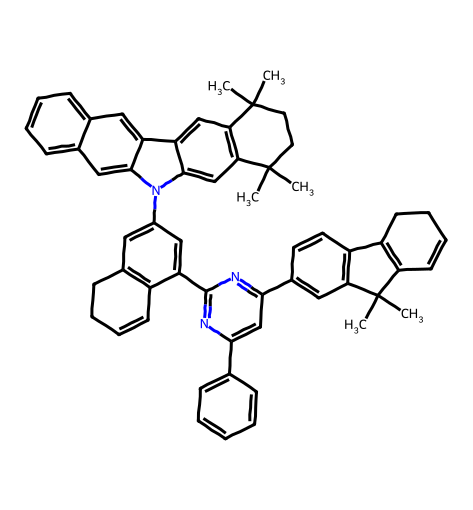 CC1(C)CCC(C)(C)c2cc3c(cc21)c1cc2ccccc2cc1n3-c1cc2c(c(-c3nc(-c4ccccc4)cc(-c4ccc5c(c4)C(C)(C)C4=C5CCC=C4)n3)c1)C=CCC2